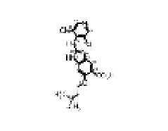 CN(C)CCOc1cc2[nH]c(Nc3c(Cl)cncc3Cl)nc2cc1C(=O)O